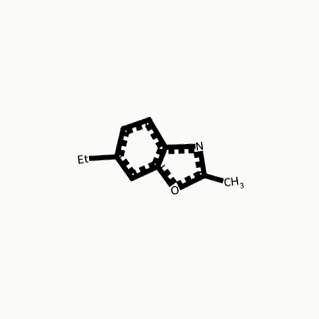 CCc1ccc2nc(C)oc2c1